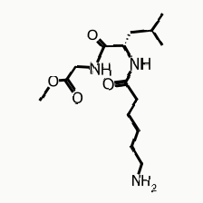 COC(=O)CNC(=O)[C@H](CC(C)C)NC(=O)CCCCCN